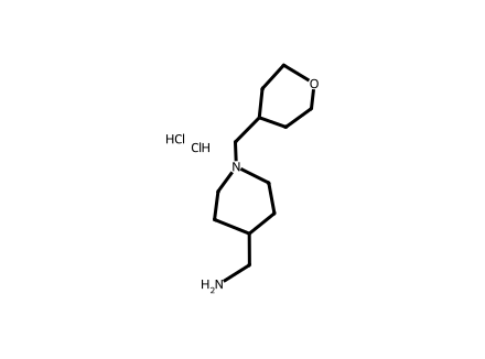 Cl.Cl.NCC1CCN(CC2CCOCC2)CC1